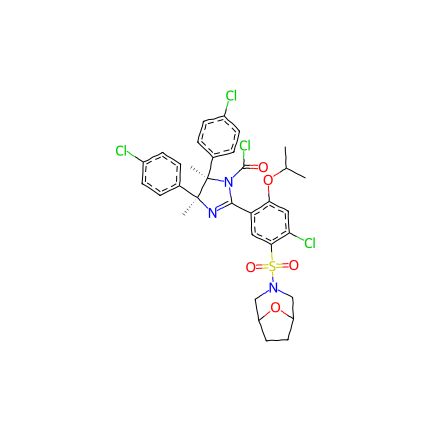 CC(C)Oc1cc(Cl)c(S(=O)(=O)N2CC3CCC(C2)O3)cc1C1=N[C@@](C)(c2ccc(Cl)cc2)[C@@](C)(c2ccc(Cl)cc2)N1C(=O)Cl